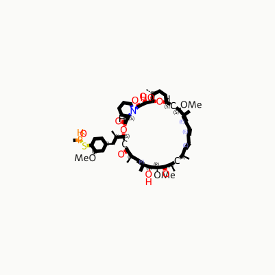 CO[C@H]1C[C@@H]2CC[C@@H](C)[C@@](O)(O2)C(=O)C(=O)N2CCCC[C@H]2C(=O)O[C@H]([C@H](C)C[C@@H]2CCC(S[PH](C)=O)[C@H](OC)C2)CC(=O)[C@H](C)/C=C(\C)[C@@H](O)[C@@H](OC)C(=O)[C@H](C)C[C@H](C)/C=C/C=C/C=C/1C